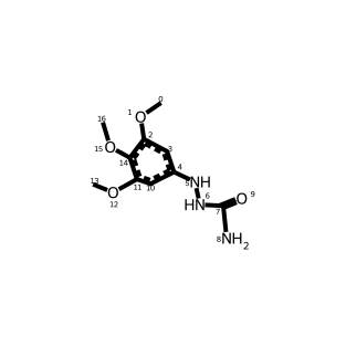 COc1cc(NNC(N)=O)cc(OC)c1OC